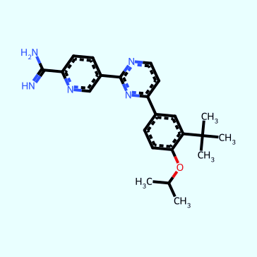 CC(C)Oc1ccc(-c2ccnc(-c3ccc(C(=N)N)nc3)n2)cc1C(C)(C)C